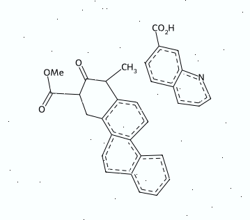 COC(=O)C1Cc2c(ccc3c2ccc2ccccc23)C(C)C1=O.O=C(O)c1ccc2cccnc2c1